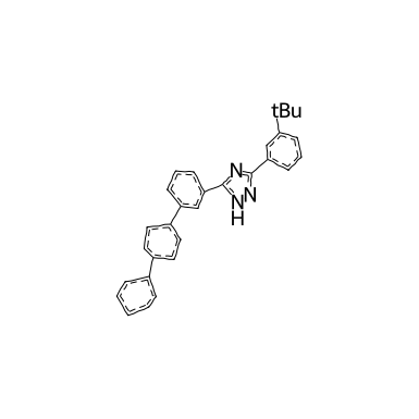 CC(C)(C)c1cccc(-c2n[nH]c(-c3cccc(-c4ccc(-c5ccccc5)cc4)c3)n2)c1